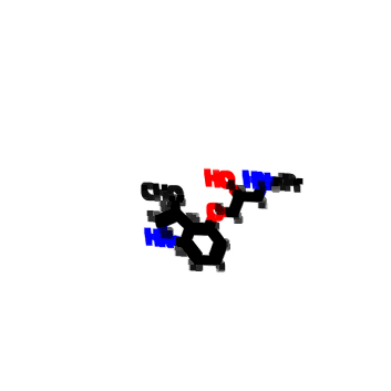 CC(C)NCC(O)COc1cccc2[nH]cc(C=O)c12